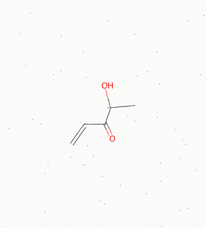 C=CC(=O)[C](C)O